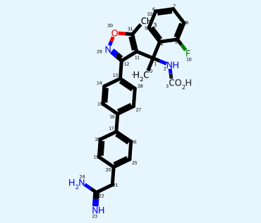 [CH2]C(NC(=O)O)(c1ccccc1F)c1c(-c2ccc(-c3ccc(CC(=N)N)cc3)cc2)noc1C